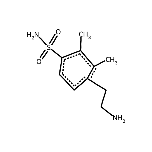 Cc1c(CCN)ccc(S(N)(=O)=O)c1C